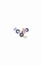 CN(C)C1CCN(c2ccc(S)cc2CS(=O)(=O)N2CCCC2)CC1